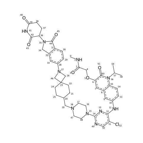 CNC(=O)COc1cc2cc(Nc3nc(N4CCN(CC5CCC6(CC5)CN(c5ccc7c(c5)CN(C5CCC(=O)NC5=O)C7=O)C6)CC4)ncc3Cl)ccc2n(C(C)C)c1=O